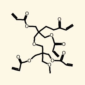 C=CC(=O)CCC(COCC(COC)(COC(=O)C=C)COC(=O)C=C)(COC(=O)C=C)COC(=O)C=C